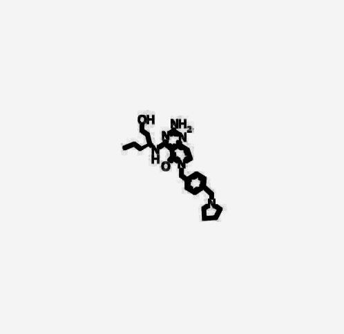 CCC[C@@H](CCO)Nc1nc(N)nc2ccn(Cc3ccc(CN4CCCC4)cc3)c(=O)c12